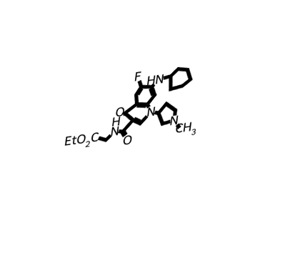 CCOC(=O)CNC(=O)c1cn(C2CCN(C)C2)c2cc(NC3CCCCC3)c(F)cc2c1=O